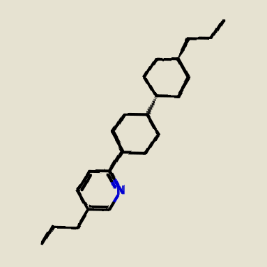 CCCc1ccc(C2CCC([C@H]3CC[C@H](CCC)CC3)CC2)nc1